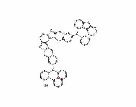 Sc1cccc(N(c2ccccc2)c2ccc3cc4c(cc3c2)oc2ccc3oc5cc6cc(N(c7ccccc7)c7cccc8sc9ccccc9c78)ccc6cc5c3c24)c1-c1ccccc1